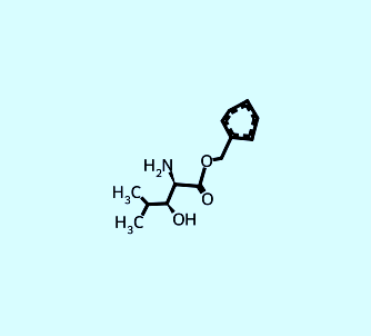 CC(C)[C@H](O)[C@@H](N)C(=O)OCc1ccccc1